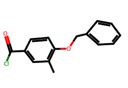 Cc1cc(C(=O)Cl)ccc1OCc1ccccc1